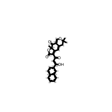 CC1(C)CC2=CC3=C(C(=O)/C=C(\O)c4ccc5ccccc5c4)C(=O)OC3(C)C(=O)C2=CO1